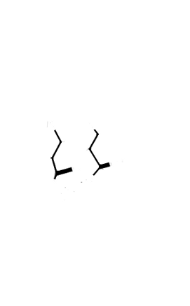 O=C([O-])CCS.O=C([O-])CCS.[Zn+2]